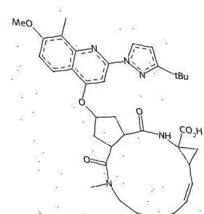 COc1ccc2c(OC3CC4C(=O)NC5(C(=O)O)CC5/C=C\CCCCN(C)C(=O)C4C3)cc(-n3ccc(C(C)(C)C)n3)nc2c1C